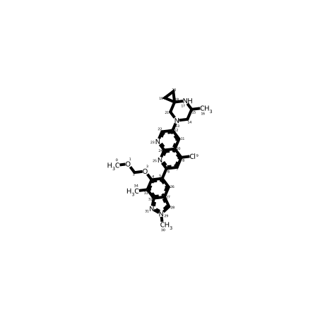 COCOc1c(-c2cc(Cl)c3cc(N4CC(C)NC5(CC5)C4)cnc3n2)cc2cn(C)nc2c1C